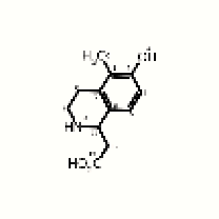 Cc1c(O)ccc2c1CCNC2CC(=O)O